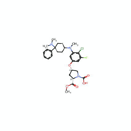 COC(=O)[C@@H]1C[C@H](Oc2cc(F)c(Cl)c(N(C)C3CCC(c4ccccc4)(N(C)C)CC3)c2)CN1C(=O)O